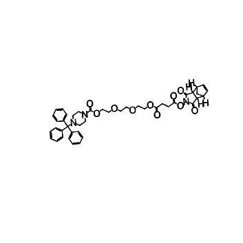 O=C(CCC(=O)ON1C(=O)[C@@H]2[C@H](C1=O)[C@@H]1C=C[C@H]2C1)OCCOCCOCCOC(=O)N1CCN(C(c2ccccc2)(c2ccccc2)c2ccccc2)CC1